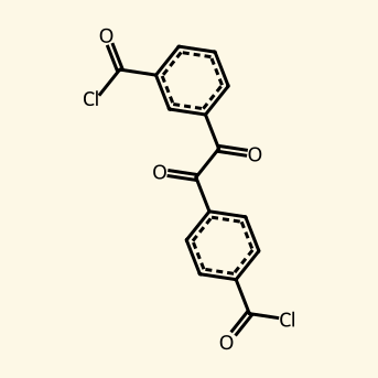 O=C(Cl)c1ccc(C(=O)C(=O)c2cccc(C(=O)Cl)c2)cc1